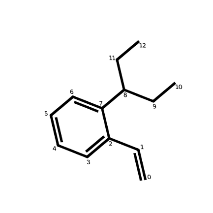 C=Cc1ccccc1C(CC)CC